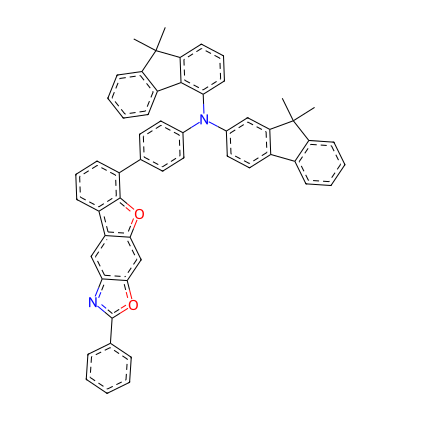 CC1(C)c2ccccc2-c2ccc(N(c3ccc(-c4cccc5c4oc4cc6oc(-c7ccccc7)nc6cc45)cc3)c3cccc4c3-c3ccccc3C4(C)C)cc21